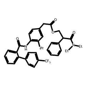 CCN(CC)C(=O)C(COC(=O)Cc1ccc(NC(=O)c2ccccc2-c2ccc(C(F)(F)F)cc2)c(C(C)C)c1)c1ccccc1